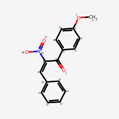 COc1ccc(C(=O)/C(=C\c2ccccc2)[N+](=O)[O-])cc1